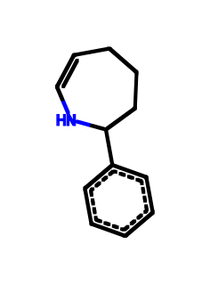 C1=CNC(c2ccccc2)CCC1